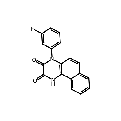 O=c1[nH]c2c3ccccc3ccc2n(-c2cccc(F)c2)c1=O